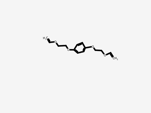 C=COCCOc1ccc(OCCOC=C)cc1